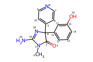 CN1C(=O)C(c2ccncc2)(c2cccc(O)c2)N=C1N